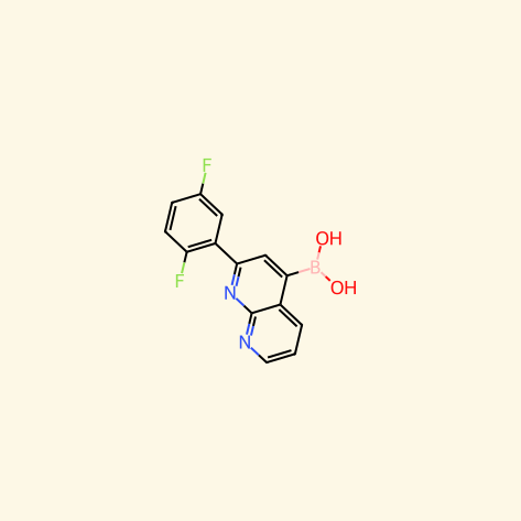 OB(O)c1cc(-c2cc(F)ccc2F)nc2ncccc12